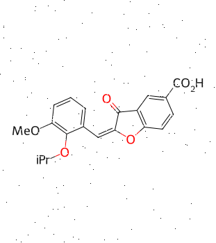 COc1cccc(C=C2Oc3ccc(C(=O)O)cc3C2=O)c1OC(C)C